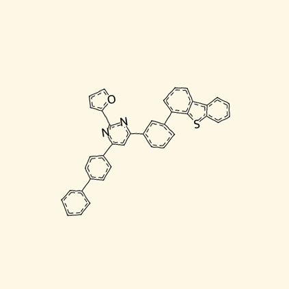 c1ccc(-c2ccc(-c3cc(-c4cccc(-c5cccc6c5sc5ccccc56)c4)nc(-c4ccco4)n3)cc2)cc1